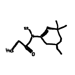 CCN(C(=O)CO)C1=CC(C)(C)CC(C)C1